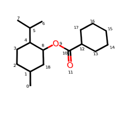 CC1CCC(C(C)C)C(OC(=O)C2CCCCC2)C1